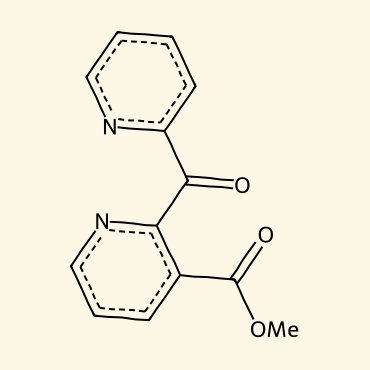 COC(=O)c1cccnc1C(=O)c1ccccn1